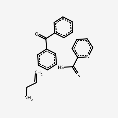 C=CCN.O=C(c1ccccc1)c1ccccc1.S=C(S)c1ccccn1